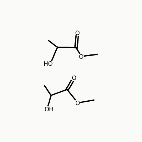 COC(=O)C(C)O.COC(=O)C(C)O